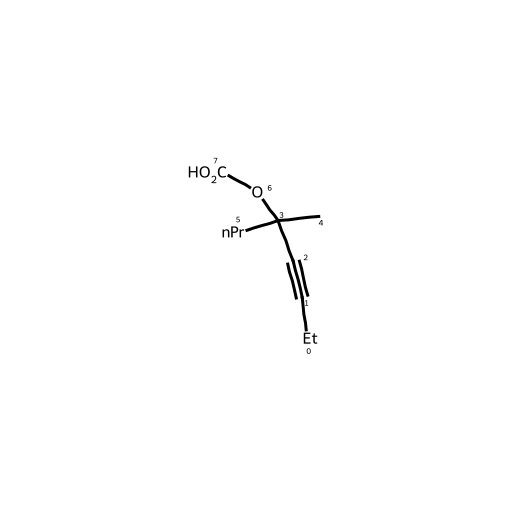 CCC#CC(C)(CCC)OC(=O)O